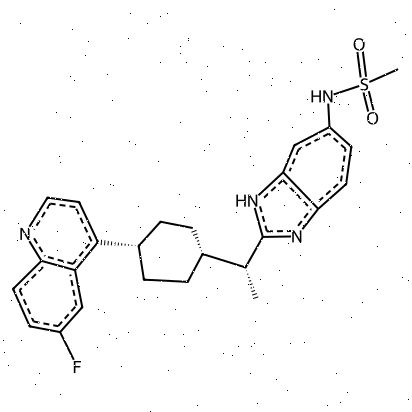 C[C@@H](c1nc2ccc(NS(C)(=O)=O)cc2[nH]1)[C@H]1CC[C@@H](c2ccnc3ccc(F)cc32)CC1